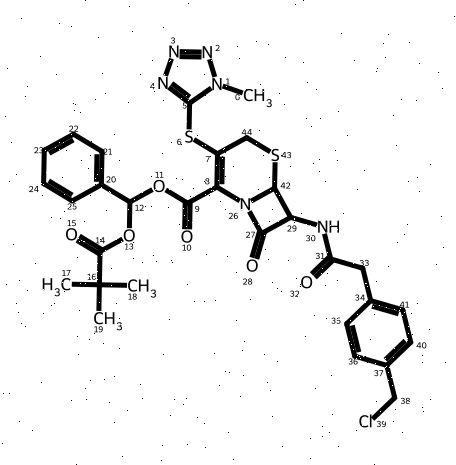 Cn1nnnc1SC1=C(C(=O)OC(OC(=O)C(C)(C)C)c2ccccc2)N2C(=O)C(NC(=O)Cc3ccc(CCl)cc3)C2SC1